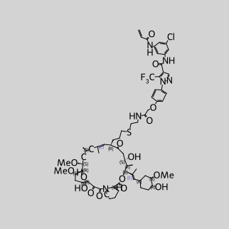 C=CC(=O)Nc1cc(Cl)cc(NC(=O)c2cnn(-c3ccc(OCC(=O)NCCSCCC[C@@H]4/C=C(\C)C[C@H](C)C[C@H](OC)[C@H]5O[C@@](O)(C(=O)C(=O)N6CCCC[C@H]6C(=O)O[C@H](/C(C)=C/[C@@H]6CC[C@@H](O)[C@H](OC)C6)[C@H](C)[C@@H](O)CC4=O)[C@H](C)C[C@@H]5OC)cc3)c2C(F)(F)F)c1